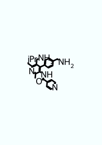 Cc1nc(CC(C)C)c(CN)c(-c2ccc(CN)cc2)c1NC(=O)c1ccncc1